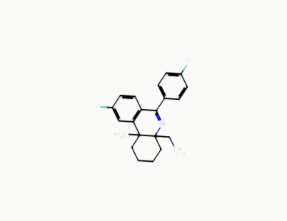 CC12CCCCC1(CC(F)(F)F)N=C(c1ccc(F)cc1)c1ccc(F)cc12